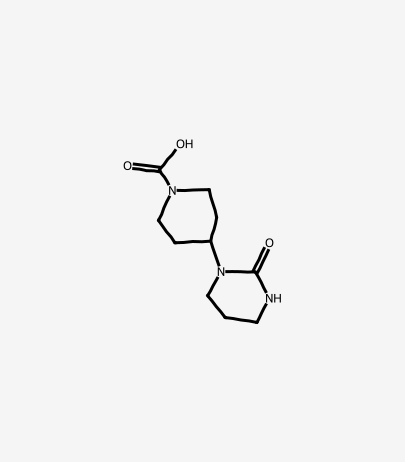 O=C(O)N1CCC(N2CCCNC2=O)CC1